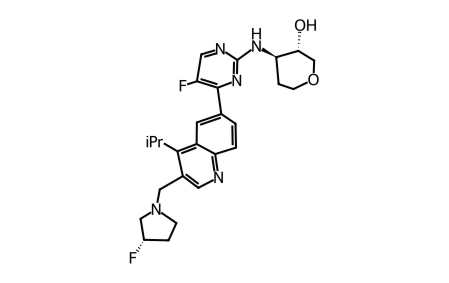 CC(C)c1c(CN2CC[C@H](F)C2)cnc2ccc(-c3nc(N[C@@H]4CCOC[C@H]4O)ncc3F)cc12